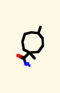 CC1CCCCC(C)(C(N)=O)CCC1